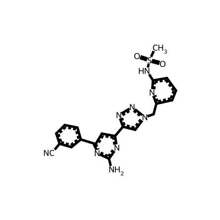 CS(=O)(=O)Nc1cccc(Cn2cc(-c3cc(-c4cccc(C#N)c4)nc(N)n3)nn2)n1